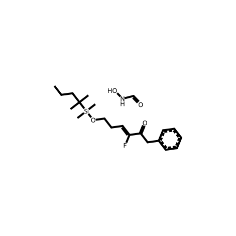 CCCC(C)(C)[Si](C)(C)OCC/C=C(\F)C(=O)Cc1ccccc1.O=CNO